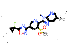 CCS(=O)(=O)c1cc(-c2noc(C3(F)CC3)n2)cnc1-c1nc2cc(C(C)=O)cnc2n1C